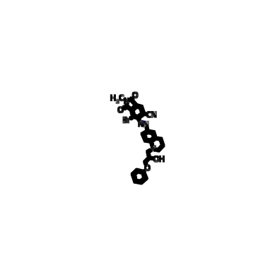 CN1C(=O)c2cc(C#N)c(/N=N/c3ccc4c(c3)CCCN4CC(O)COc3ccccc3)c(Br)c2C1=O